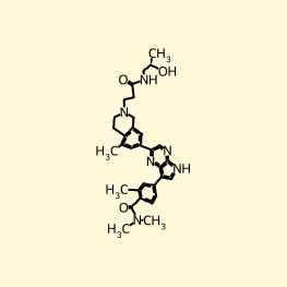 Cc1cc(-c2c[nH]c3ncc(-c4cc(C)c5c(c4)CN(CCC(=O)NC[C@@H](C)O)CC5)nc23)ccc1C(=O)N(C)C